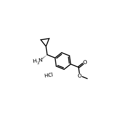 COC(=O)c1ccc([C@H](N)C2CC2)cc1.Cl